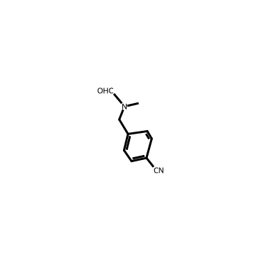 CN(C=O)Cc1ccc(C#N)cc1